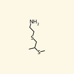 CSC(C)CSCCN